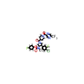 CCN(C(=O)Oc1ccc(F)cc1)[C@@H]1CN(C(=O)C2CCN(C(=O)c3cnc(C(F)(F)F)cn3)CC2)C[C@H]1c1ccc(Cl)c(F)c1